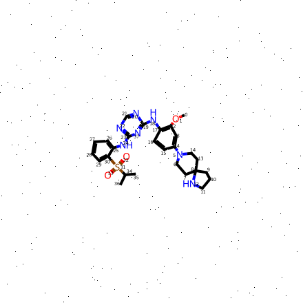 COc1cc(N2CCC3(CCCN3)CC2)ccc1Nc1ncnc(Nc2ccccc2S(=O)(=O)C(C)C)n1